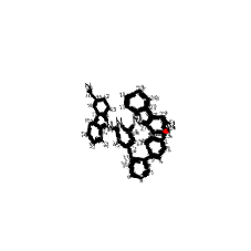 N#Cc1ccc(-c2ccccc2-c2cc(-n3c4ccccc4c4ccccc43)nc(-n3c4ccccc4c4cc(C#N)ccc43)c2)cc1